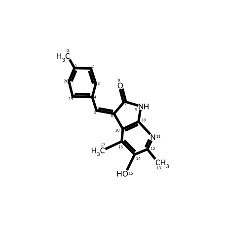 Cc1ccc(C=C2C(=O)Nc3nc(C)c(O)c(C)c32)cc1